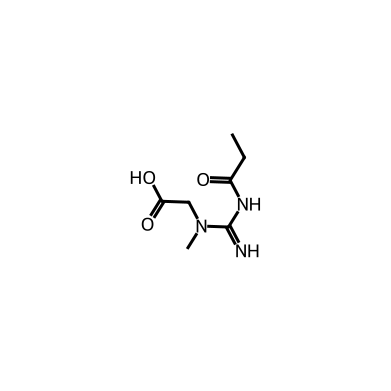 CCC(=O)NC(=N)N(C)CC(=O)O